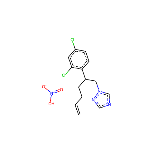 C=CCCC(Cn1cncn1)c1ccc(Cl)cc1Cl.O=[N+]([O-])O